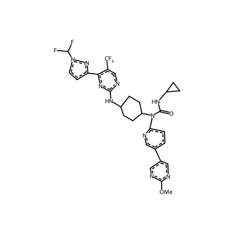 COc1ncc(-c2ccc(N(C(=O)NC3CC3)C3CCC(Nc4ncc(C(F)(F)F)c(-c5ccn(C(F)F)n5)n4)CC3)nc2)cn1